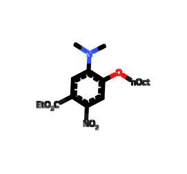 CCCCCCCCOc1cc([N+](=O)[O-])c(C(=O)OCC)cc1N(C)C